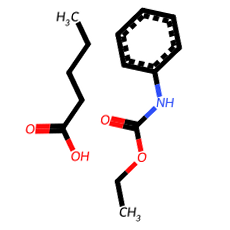 CCCCC(=O)O.CCOC(=O)Nc1ccccc1